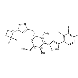 CO[C@@H]1[C@@H](n2cc(-c3ccc(Cl)c(F)c3F)nn2)[C@@H](O)[C@@H](CO)O[C@@H]1Cc1cn([C@H]2CCC2(F)F)nn1